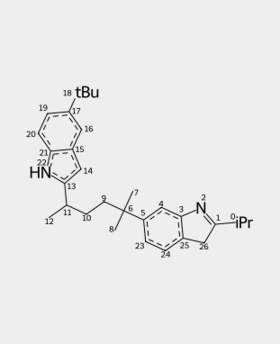 CC(C)C1=Nc2cc(C(C)(C)CCC(C)c3cc4cc(C(C)(C)C)ccc4[nH]3)ccc2C1